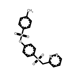 Cc1ccc(S(=O)(=O)Oc2ccc(S(=O)(=O)Cc3cccnn3)cc2)cc1